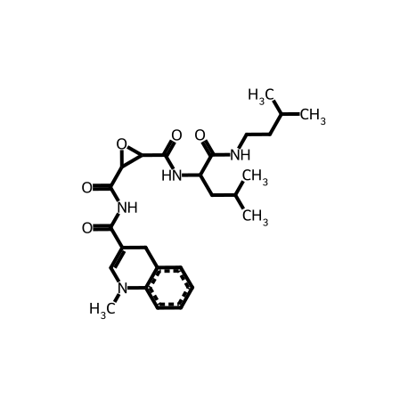 CC(C)CCNC(=O)C(CC(C)C)NC(=O)C1OC1C(=O)NC(=O)C1=CN(C)c2ccccc2C1